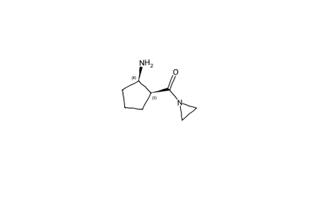 N[C@@H]1CCC[C@@H]1C(=O)N1CC1